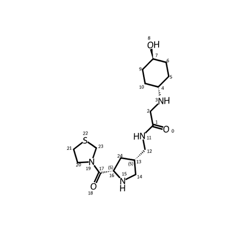 O=C(CN[C@H]1CC[C@H](O)CC1)NC[C@@H]1CN[C@H](C(=O)N2CCSC2)C1